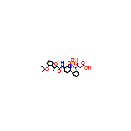 CCC(C)Oc1cccc2oc(C(=O)Nc3ccc(-c4ccccc4C(NS(=O)(=O)O)C(C)CC(=O)O)cc3)c(C)c12